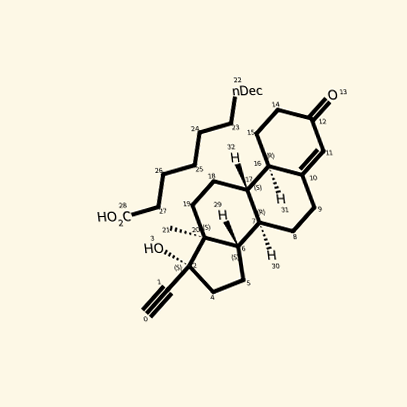 C#C[C@]1(O)CC[C@H]2[C@@H]3CCC4=CC(=O)CC[C@@H]4[C@H]3CC[C@@]21C.CCCCCCCCCCCCCCCC(=O)O